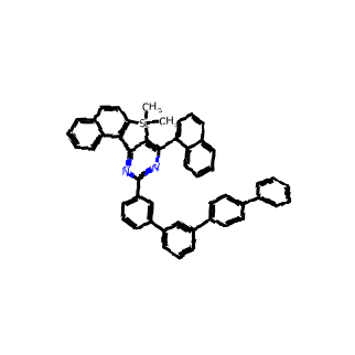 C[Si]1(C)c2ccc3ccccc3c2-c2nc(-c3cccc(-c4cccc(-c5ccc(-c6ccccc6)cc5)c4)c3)nc(-c3cccc4ccccc34)c21